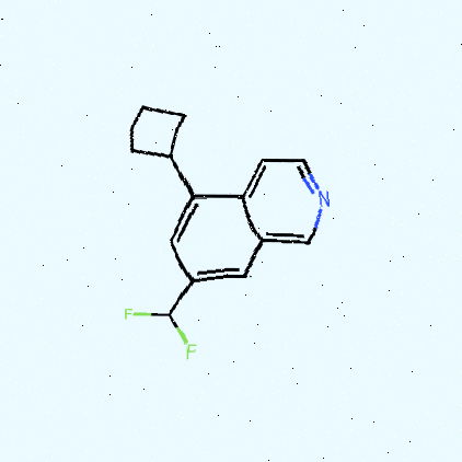 FC(F)c1[c]c2cnccc2c(C2CCC2)c1